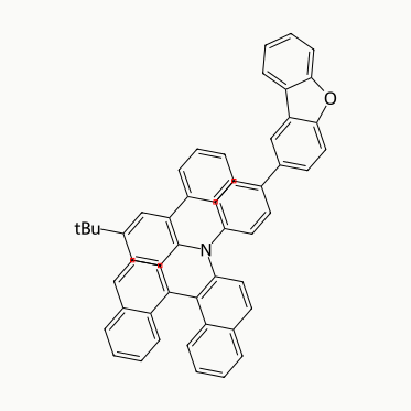 CC(C)(C)c1ccc(N(c2ccc(-c3ccc4oc5ccccc5c4c3)cc2)c2ccc3ccccc3c2-c2cccc3ccccc23)c(-c2ccccc2)c1